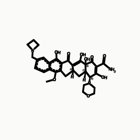 COc1c2c(c(O)c3cc(CN4CCC4)ccc13)C(=O)C1=C(O)[C@]3(O)C(=O)C(C(N)=O)=C(O)[C@@H](N4CCOCC4)[C@@H]3C[C@@H]1C2